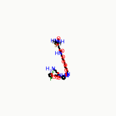 NCCCC[C@H](NC(=O)c1cccc(-n2cc(COCCOCCOCCOCCNC(=O)CCCC[C@@H]3SC[C@@H]4NC(=O)N[C@@H]43)nn2)c1)C(=O)COc1c(F)cccc1F